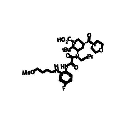 COCCCCNc1cc(F)ccc1NC(=O)C(=O)N(CC(C)C)[C@H]1C[C@@H](C(=O)N2CCOCC2)CN(C(=O)O)C1C(C)(C)C